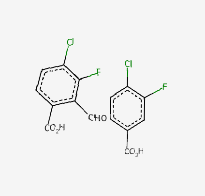 O=C(O)c1ccc(Cl)c(F)c1.O=Cc1c(C(=O)O)ccc(Cl)c1F